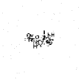 Cc1nc(C(=O)Nc2cccc([C@]3(C)CS(=O)(=O)N(C)C(=N)N3)c2)co1